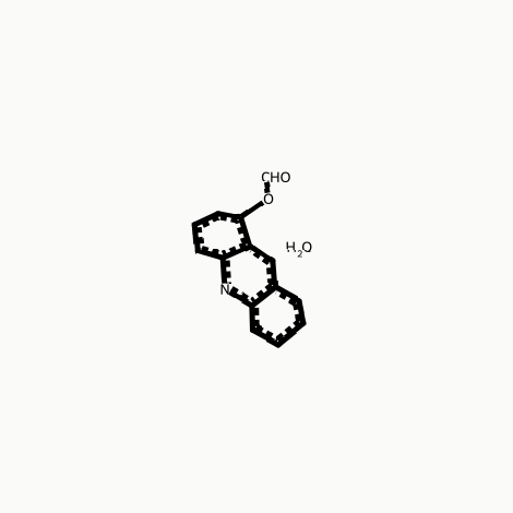 O.O=COc1cccc2nc3ccccc3cc12